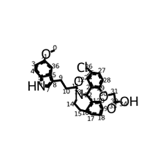 COc1ccc2[nH]cc(CCC(=O)N3CCc4ccccc4C3c3cc(Cl)ccc3OCC(=O)O)c2c1